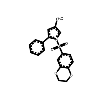 O=Cc1cc(-c2ccccc2)n(S(=O)(=O)c2ccc3c(c2)OCCO3)c1